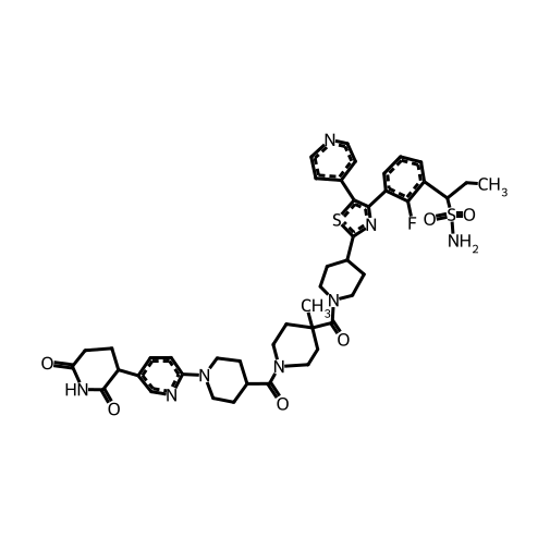 CCC(c1cccc(-c2nc(C3CCN(C(=O)C4(C)CCN(C(=O)C5CCN(c6ccc(C7CCC(=O)NC7=O)cn6)CC5)CC4)CC3)sc2-c2ccncc2)c1F)S(N)(=O)=O